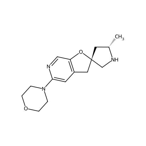 C[C@H]1C[C@@]2(CN1)Cc1cc(N3CCOCC3)ncc1O2